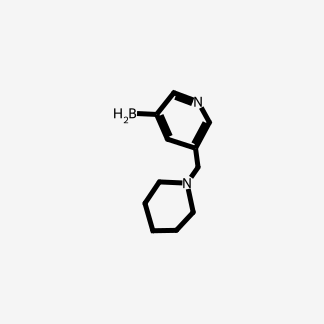 Bc1cncc(CN2CCCCC2)c1